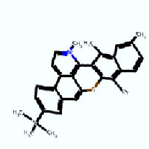 Cc1ccc2c(C(C)C)c3c(c(C)c2c1)-c1c2c(cc4cc([Si](C)(C)C)ccc4c2cc[n+]1C)S3